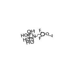 OC[C@H]1[C@@H](O)[C@H](O)[C@@H](O)CN1CCc1c(F)cc(OCC2CC2)cc1F